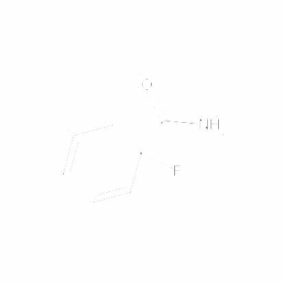 NC(=O)C1(F)C=CC=CC1